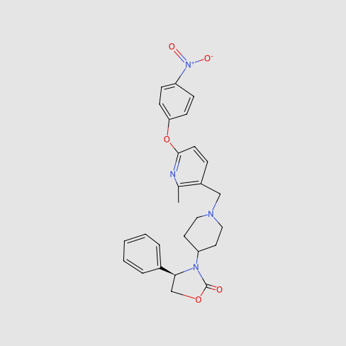 Cc1nc(Oc2ccc([N+](=O)[O-])cc2)ccc1CN1CCC(N2C(=O)OC[C@H]2c2ccccc2)CC1